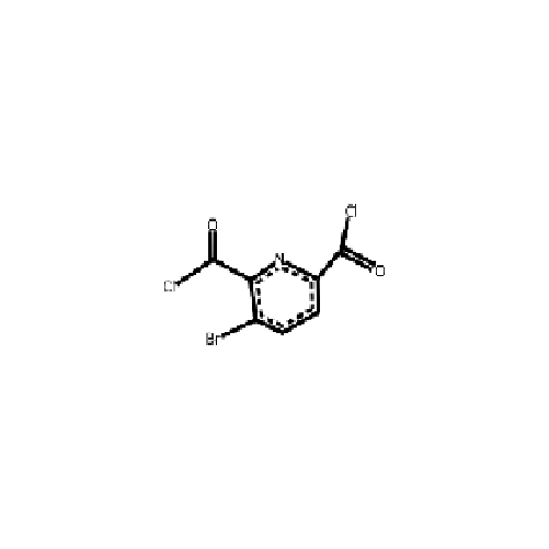 O=C(Cl)c1ccc(Br)c(C(=O)Cl)n1